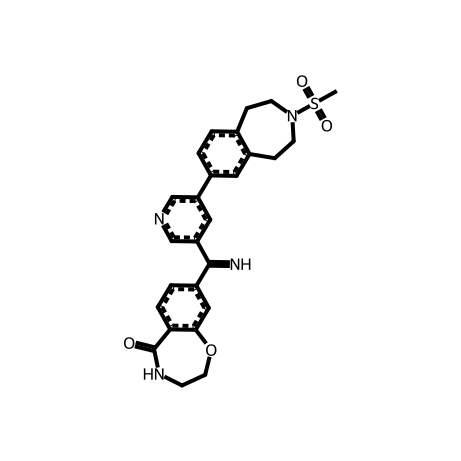 CS(=O)(=O)N1CCc2ccc(-c3cncc(C(=N)c4ccc5c(c4)OCCNC5=O)c3)cc2CC1